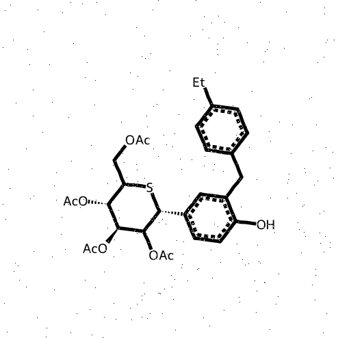 CCc1ccc(Cc2cc([C@H]3SC(COC(C)=O)[C@@H](OC(C)=O)[C@H](OC(C)=O)C3OC(C)=O)ccc2O)cc1